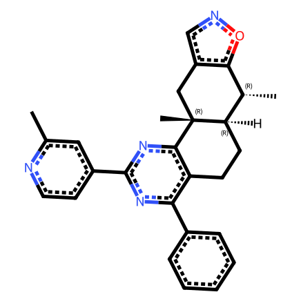 Cc1cc(-c2nc(-c3ccccc3)c3c(n2)[C@]2(C)Cc4cnoc4[C@H](C)[C@H]2CC3)ccn1